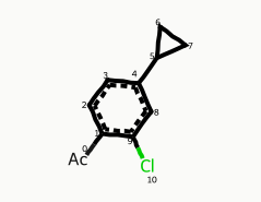 CC(=O)c1ccc(C2CC2)cc1Cl